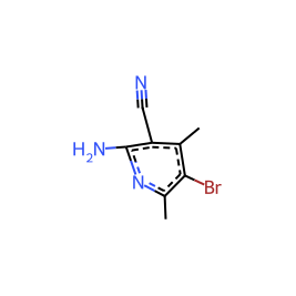 Cc1nc(N)c(C#N)c(C)c1Br